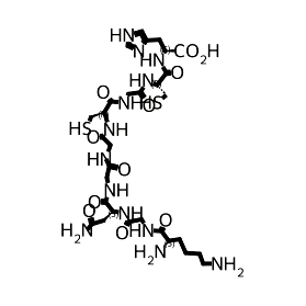 NCCCC[C@H](N)C(=O)NCC(=O)N[C@@H](CC(N)=O)C(=O)NCC(=O)NCC(=O)N[C@@H](CS)C(=O)NCC(=O)N[C@@H](CS)C(=O)N[C@@H](Cc1c[nH]cn1)C(=O)O